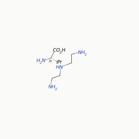 CC(C)[C@H](N)C(=O)O.NCCNCCN